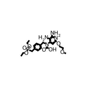 CCOP(=O)(Cc1ccc(CN(C(=O)O)c2cc(OCCOC)nc(N)c2N)cc1)OCC